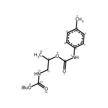 Cc1ccc(NC(=O)OC(C)CNC(=O)OCC(C)C)cc1